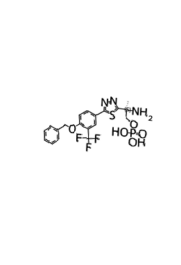 C[C@](N)(COP(=O)(O)O)c1nnc(-c2ccc(OCc3ccccc3)c(C(F)(F)F)c2)s1